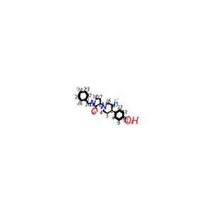 O=C1[C@H](N2CC[C@H](c3ccc(O)cc3)[C@@H](F)C2)CCN1Cc1ccccc1